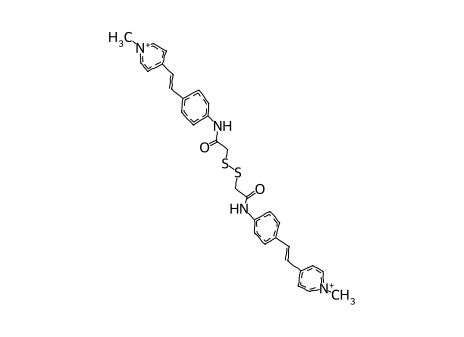 C[n+]1ccc(/C=C/c2ccc(NC(=O)CSSCC(=O)Nc3ccc(/C=C/c4cc[n+](C)cc4)cc3)cc2)cc1